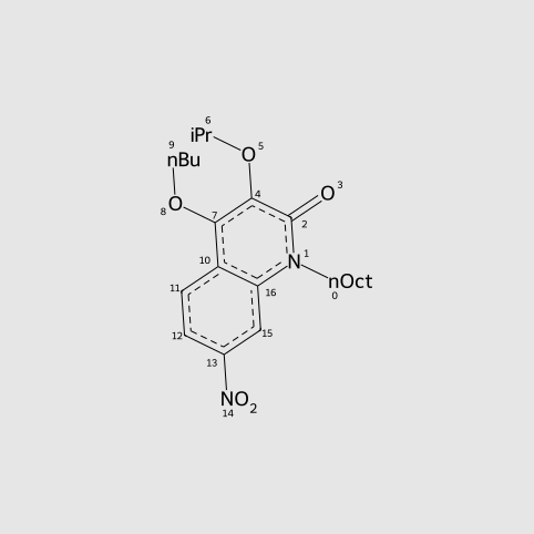 CCCCCCCCn1c(=O)c(OC(C)C)c(OCCCC)c2ccc([N+](=O)[O-])cc21